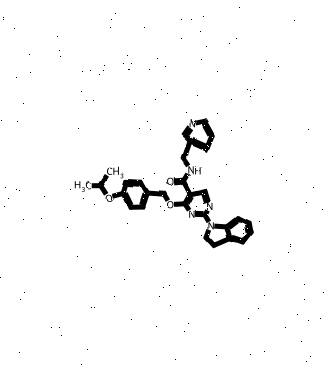 CC(C)Oc1ccc(COc2nc(N3CCc4ccccc43)ncc2C(=O)NCc2cccnc2)cc1